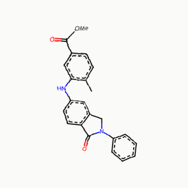 COC(=O)c1ccc(C)c(Nc2ccc3c(c2)CN(c2ccccc2)C3=O)c1